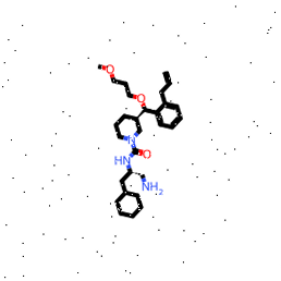 C=CCc1ccccc1C(OCCCOC)[C@@H]1CCCN(C(=O)N[C@H](CN)CC2CCCCC2)C1